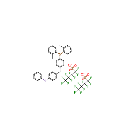 Cc1ccccc1[S+](c1ccc(Cc2ccc([I+]c3ccccc3)cc2)cc1)c1ccccc1C.O=S(=O)([O-])C(F)(F)C(F)(F)C(F)(F)C(F)(F)F.O=S(=O)([O-])C(F)(F)C(F)(F)C(F)(F)C(F)(F)F